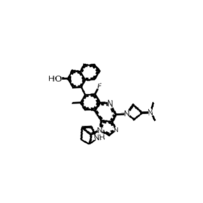 Cc1cc2c(nc(N3CC(N(C)C)C3)c3ncn(C4C5CNC4C5)c32)c(F)c1-c1cc(O)cc2ccccc12